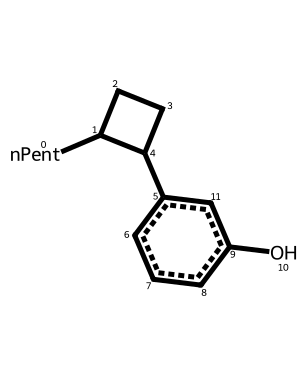 CCCCCC1CCC1c1cccc(O)c1